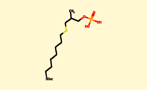 CCCCCCCCCCCCCCCCCSCC(C)COP(=O)(O)O